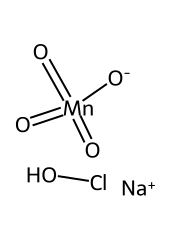 OCl.[Na+].[O]=[Mn](=[O])(=[O])[O-]